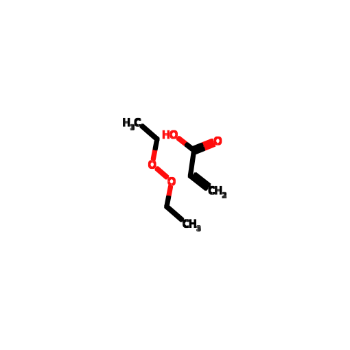 C=CC(=O)O.CCOOCC